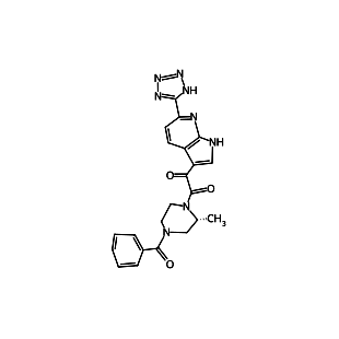 C[C@@H]1CN(C(=O)c2ccccc2)CCN1C(=O)C(=O)c1c[nH]c2nc(-c3nnn[nH]3)ccc12